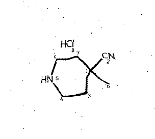 CC1(C#N)CCNCC1.Cl